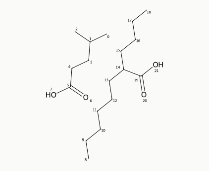 CC(C)CCC(=O)O.CCCCCCC(CCCC)C(=O)O